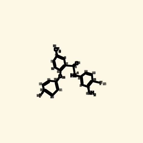 Nc1cc(NC(=O)c2cc(C(F)(F)F)ccc2Oc2ccc(F)cc2)ccc1F